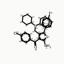 Nc1sc(-c2ccc(F)cc2)c(CN(C2CCCCC2)C2CCCCC2)c1C(=O)c1ccc(Cl)cc1